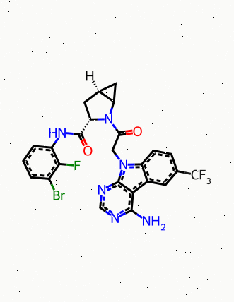 Nc1ncnc2c1c1cc(C(F)(F)F)ccc1n2CC(=O)N1C2C[C@@H]2C[C@H]1C(=O)Nc1cccc(Br)c1F